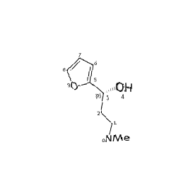 CNCC[C@@H](O)c1ccco1